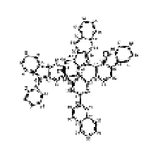 c1ccc(-n2c3ccccc3c3ccc(-c4nc(-c5ccc6ccccc6c5)nc(-c5ccc6c(oc7ccccc76)c5-n5c6ccccc6c6cc7ccccc7cc65)n4)cc32)cc1